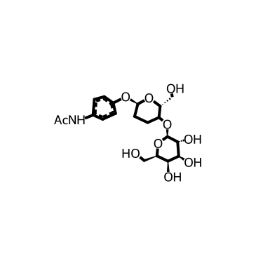 CC(=O)Nc1ccc(O[C@@H]2CCC(O[C@@H]3O[C@H](CO)[C@H](O)[C@H](O)[C@H]3O)[C@@H](CO)O2)cc1